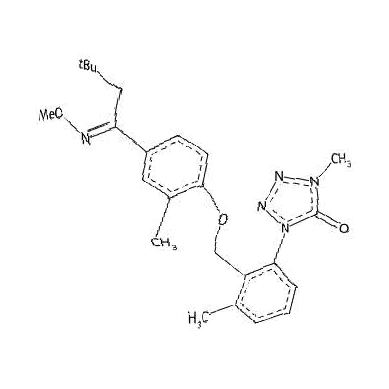 CON=C(CC(C)(C)C)c1ccc(OCc2c(C)cccc2-n2nnn(C)c2=O)c(C)c1